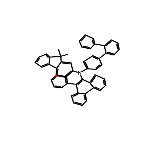 CC1(C)c2ccccc2-c2ccc(N(c3ccc(-c4ccccc4-c4ccccc4)cc3)c3c(-c4ccccc4)c4ccccc4c4ccccc34)cc21